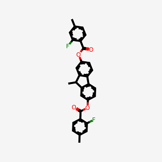 Cc1ccc(C(=O)Oc2ccc3c(c2)C(C)c2cc(OC(=O)c4ccc(C)cc4F)ccc2-3)c(F)c1